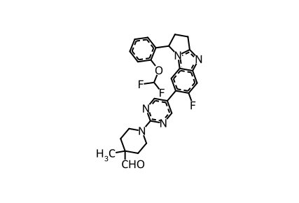 CC1(C=O)CCN(c2ncc(-c3cc4c(cc3F)nc3n4C(c4ccccc4OC(F)F)CC3)cn2)CC1